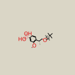 COc1cc(B(O)O)ccc1[C@@H](C)CO[Si](C)(C)C(C)(C)C